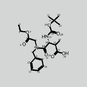 CCOC(=O)CN(Cc1ccccc1)C(=O)[C@H](NC(=O)OC(C)(C)C)C(C)C(=O)O